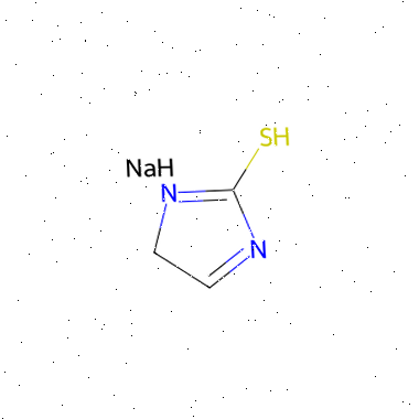 SC1=NCC=N1.[NaH]